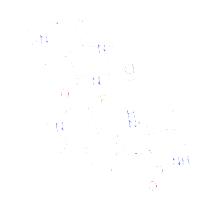 CC1CNC(=O)c2c1[nH]c1c2CCc2cnc(Oc3nc(Cl)nc4c3CN(C)CC4)c(F)c2-1